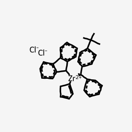 CC(C)(C)c1ccc(/[C](c2ccccc2)=[Zr+2](/[C]2=CC=CC2)[CH]2c3ccccc3-c3ccccc32)cc1.[Cl-].[Cl-]